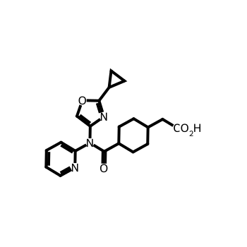 O=C(O)CC1CCC(C(=O)N(c2ccccn2)c2coc(C3CC3)n2)CC1